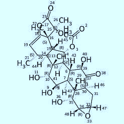 CC(=O)O[C@@H]1[C@H]2[C@H]3[C@H]([C@@H](O)[C@H](O)[C@]2(C)[C@@H]2[C@@H]1[C@]1(C)C(=C[C@H]2C)OC(=O)[C@@]1(C)O)[C@]1(C)[C@H](C[C@@H]2O[C@@H]2[C@@H]1O)C(=O)[C@@H]3O